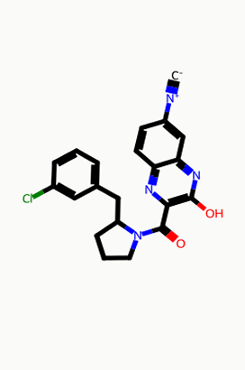 [C-]#[N+]c1ccc2nc(C(=O)N3CCCC3Cc3cccc(Cl)c3)c(O)nc2c1